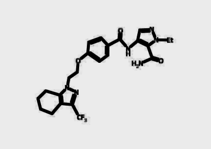 CCn1ncc(NC(=O)c2ccc(OCCn3nc(C(F)(F)F)c4c3CCCC4)cc2)c1C(N)=O